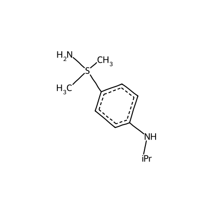 CC(C)Nc1ccc(S(C)(C)N)cc1